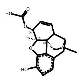 CN1CC[C@]23c4c5ccc(O)c4O[C@H]2[C@@H](OC(=O)O)C=CC3C1C5